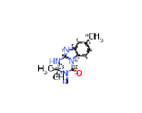 Cc1ccc2c(c1)nc1n2C(=O)NC(C)(C)N1